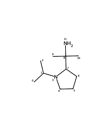 CC(C)N1CCCC1C(C)(C)N